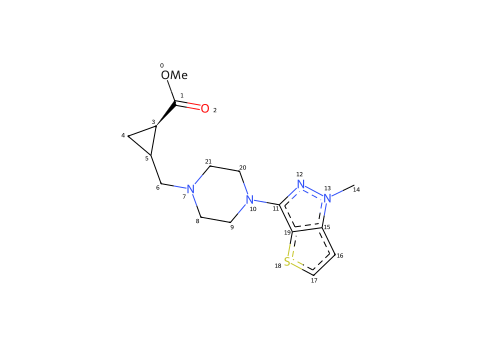 COC(=O)[C@@H]1CC1CN1CCN(c2nn(C)c3ccsc23)CC1